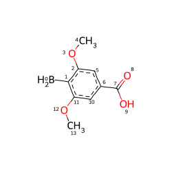 Bc1c(OC)cc(C(=O)O)cc1OC